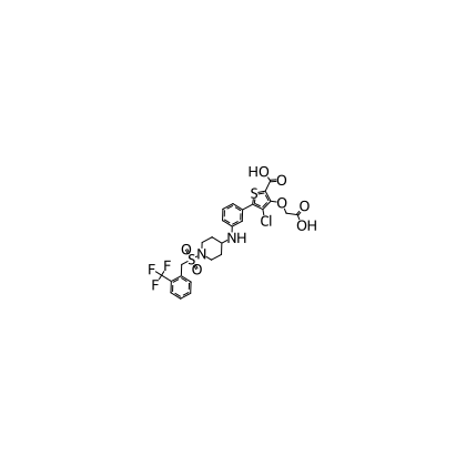 O=C(O)COc1c(C(=O)O)sc(-c2cccc(NC3CCN(S(=O)(=O)Cc4ccccc4C(F)(F)F)CC3)c2)c1Cl